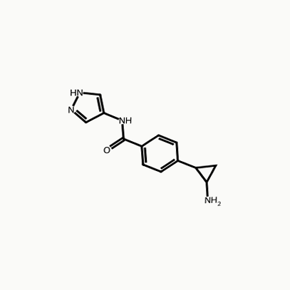 NC1CC1c1ccc(C(=O)Nc2cn[nH]c2)cc1